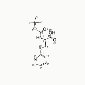 CC(C)(C)OC(=O)N[C@H](CSc1ccccn1)C(=O)O